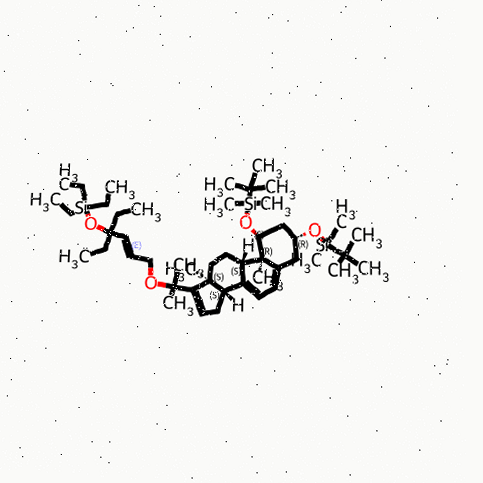 CCC(/C=C/COC(C)(C)C1=CC[C@H]2C3=CC=C4C[C@@H](O[Si](C)(C)C(C)(C)C)C[C@H](O[Si](C)(C)C(C)(C)C)[C@]4(C)[C@H]3CC[C@]12C)(CC)O[Si](CC)(CC)CC